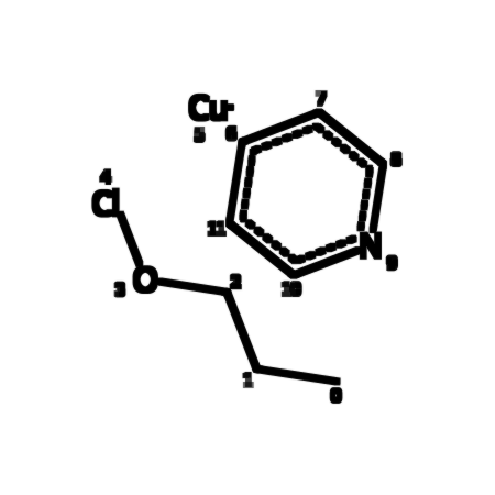 CCCOCl.[Cu].c1ccncc1